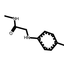 CNC(=O)CNc1ccc(C)cc1